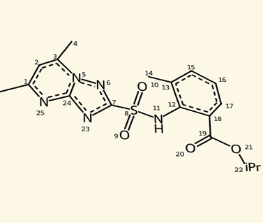 Cc1cc(C)n2nc(S(=O)(=O)Nc3c(C)cccc3C(=O)OC(C)C)nc2n1